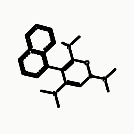 CN(C)B1C=C(N(C)C)C(c2cccc3ccccc23)=C(N(C)C)O1